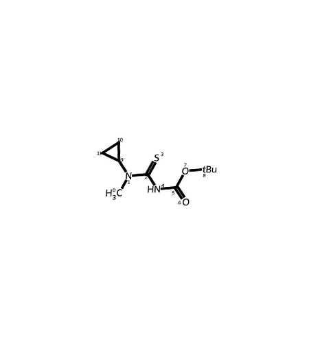 CN(C(=S)NC(=O)OC(C)(C)C)C1CC1